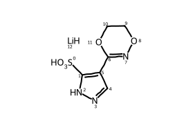 O=S(=O)(O)c1[nH]ncc1C1=NOCCO1.[LiH]